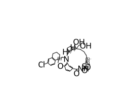 C[C@@H]1[C@@H](C)CCCC(CO)(CO)[C@@H]2CC[C@H]2CN2C[C@@]3(CCCc4cc(Cl)ccc43)COc3ccc(cc32)C(=O)NS1(=O)=O